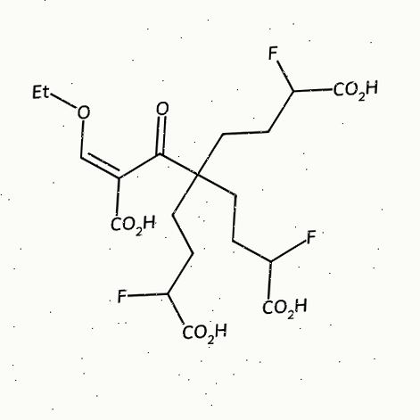 CCOC=C(C(=O)O)C(=O)C(CCC(F)C(=O)O)(CCC(F)C(=O)O)CCC(F)C(=O)O